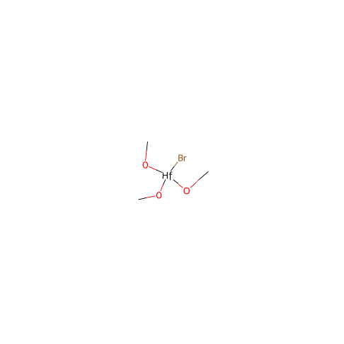 C[O][Hf]([Br])([O]C)[O]C